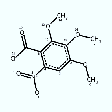 COc1cc([N+](=O)[O-])c(C(=O)Cl)c(OC)c1OC